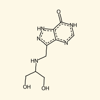 O=c1[nH]cnc2c(CNC(CO)CO)n[nH]c12